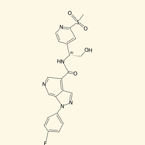 CS(=O)(=O)c1cc([C@H](CO)NC(=O)c2cncc3c2cnn3-c2ccc(F)cc2)ccn1